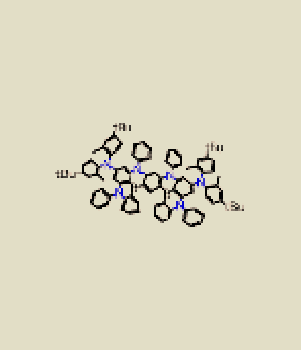 Cc1cc(C(C)(C)C)ccc1N(c1cc2c3c(c1)N(c1ccccc1)c1cc4c(cc1B3c1ccccc1N2c1ccccc1)B1c2ccccc2N(c2ccccc2)c2cc(N(c3ccc(C(C)(C)C)cc3C)c3ccc(C(C)(C)C)cc3C)cc(c21)N4c1ccccc1)c1ccc(C(C)(C)C)cc1C